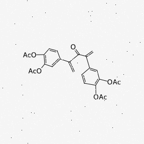 C=C(C(=O)C(=C)c1ccc(OC(C)=O)c(OC(C)=O)c1)c1ccc(OC(C)=O)c(OC(C)=O)c1